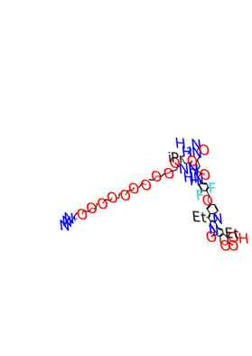 CCc1c2c(nc3ccc(OCc4c(F)cc(NC(=O)C(CCCNC(N)=O)NC(=O)C(NC(=O)CCOCCOCCOCCOCCOCCOCCOCCOCCOCCN=[N+]=[N-])C(C)C)cc4F)cc13)-c1cc3c(c(=O)n1C2)COC(=O)[C@]3(O)CC